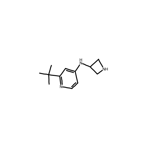 CC(C)(C)c1cc(NC2CNC2)ccn1